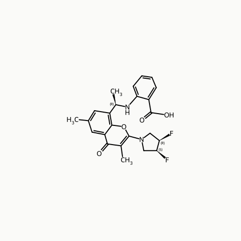 Cc1cc([C@@H](C)Nc2ccccc2C(=O)O)c2oc(N3C[C@@H](F)[C@@H](F)C3)c(C)c(=O)c2c1